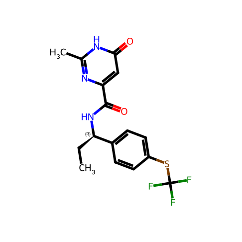 CC[C@@H](NC(=O)c1cc(=O)[nH]c(C)n1)c1ccc(SC(F)(F)F)cc1